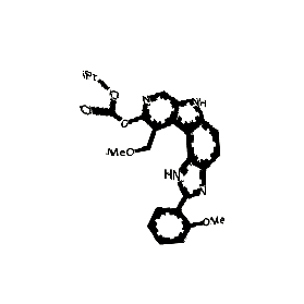 COCc1c(OC(=O)OC(C)C)ncc2[nH]c3ccc4nc(-c5ccccc5OC)[nH]c4c3c12